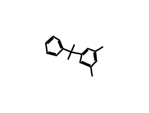 Cc1cc(C)cc(C(C)(C)c2ccccc2)c1